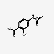 O=C(O)c1ccc(N[SH](=O)=O)cc1O